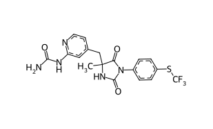 CC1(Cc2ccnc(NC(N)=O)c2)NC(=O)N(c2ccc(SC(F)(F)F)cc2)C1=O